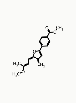 C=c1cc(-c2ccc(C(=O)OC)cc2)o/c1=C/C=C(\C)OC